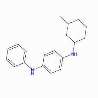 CC1CCCC(Nc2ccc(Nc3ccccc3)cc2)C1